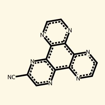 N#Cc1cnc2c3nccnc3c3nccnc3c2n1